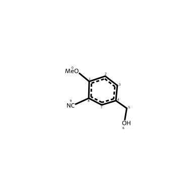 COc1ccc(CO)cc1C#N